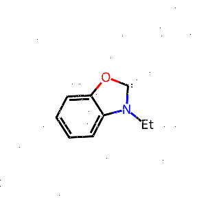 CCN1[C]Oc2ccccc21